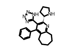 c1ccc(-c2c3c(nc([C@@H]4CCCN4)c2-c2nnn[nH]2)CCCCC3)cc1